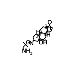 C[C@H]1C[C@H]2[C@@H]3CCC(=O)[C@@]3(C)CC[C@@H]2[C@@]2(C)CCC(=NOC(C)(C)CN)C[C@]12O